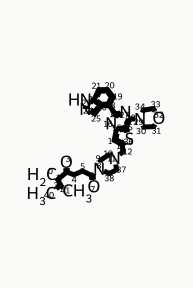 C=C(C(=O)CCC(=O)N1CCN(Cc2cc3nc(-c4cccc5[nH]ncc45)nc(N4CCOCC4)c3s2)CC1)C(C)C